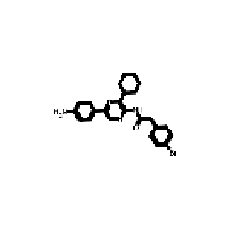 Nc1ccc(-c2cnc(NC(=O)Cc3ccc(Br)cc3)c(C3CCCCC3)n2)cc1